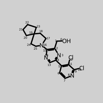 OCc1nc(-c2ccnc(Cl)c2Cl)cnc1N1CCC2(CCCC2)CC1